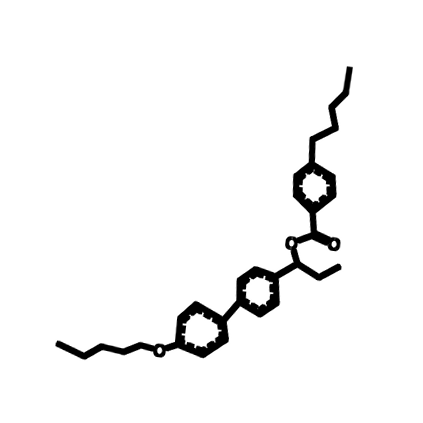 CCCCCOc1ccc(-c2ccc(C(CC)OC(=O)c3ccc(CCCCC)cc3)cc2)cc1